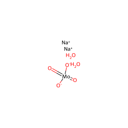 O.O.[Na+].[Na+].[O]=[Mo](=[O])([O-])[O-]